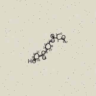 CCC(CC1OC1C)C(=O)OCC1CCC(COC(=O)C2CCCC(O)C2)CC1